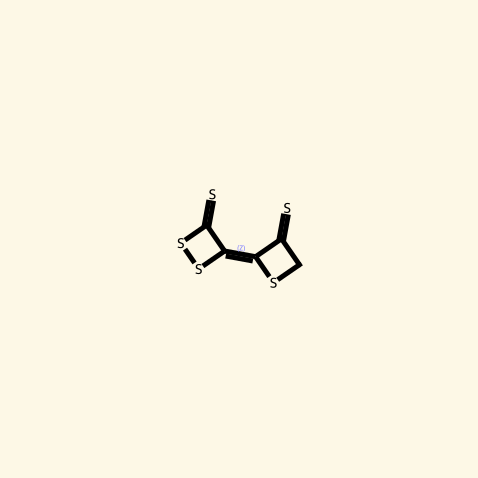 S=C1CS/C1=C1\SSC1=S